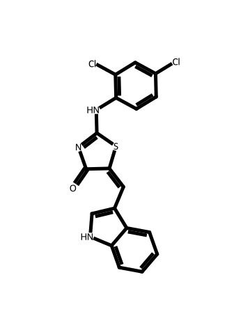 O=C1N=C(Nc2ccc(Cl)cc2Cl)S/C1=C/c1c[nH]c2ccccc12